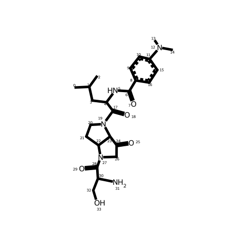 CC(C)CC(NC(=O)c1ccc(N(C)C)cc1)C(=O)N1CCC2C1C(=O)CN2C(=O)C(N)CO